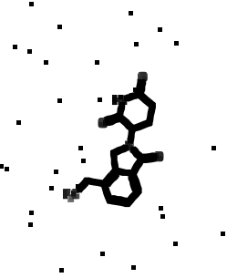 O=C1CCC(N2Cc3c(CC(F)(F)F)cccc3C2=O)C(=O)N1